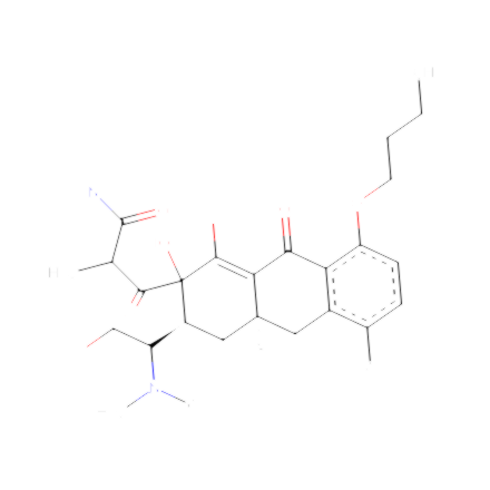 CCCCOc1ccc(C)c2c1C(=O)C1=C(O)C(O)(C(=O)C(C)C(N)=O)[C@H](C(CO)N(C)C)C[C@@H]1C2